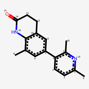 Cc1ccc(-c2cc(C)c3c(c2)CCC(=O)N3)c(C)n1